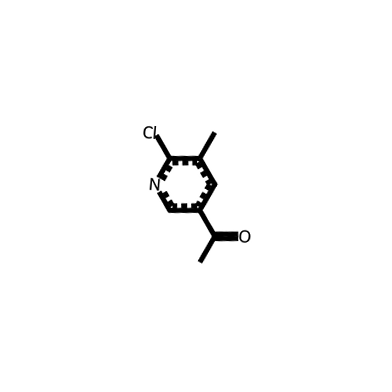 CC(=O)c1cnc(Cl)c(C)c1